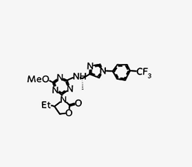 CCC1COC(=O)N1c1nc(N[C@@H](C)c2cn(-c3ccc(C(F)(F)F)cc3)cn2)nc(OC)n1